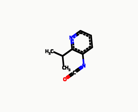 CC(C)c1ncccc1N=C=O